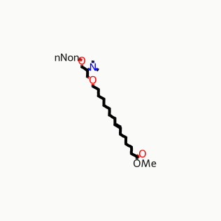 CCCCCCCCCOCC(COCCCCCCCCC=CCCCCCC(=O)OC)N(C)C